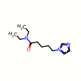 CCN(CC)C(=O)CCCCn1c[c]nc1